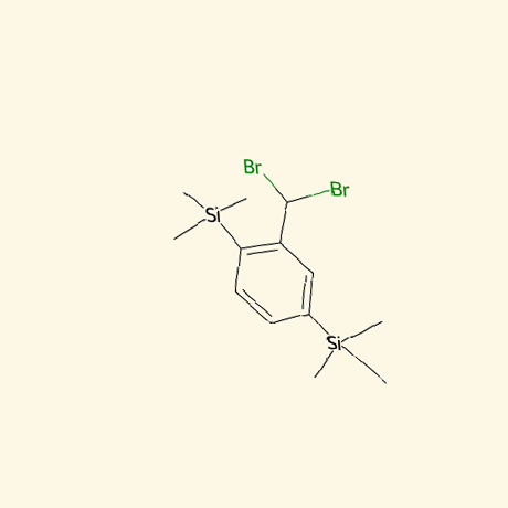 C[Si](C)(C)c1ccc([Si](C)(C)C)c(C(Br)Br)c1